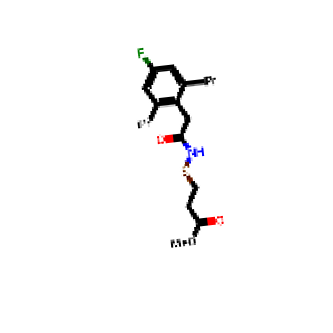 COC(=O)CCSNC(=O)Cc1c(C(C)C)cc(F)cc1C(C)C